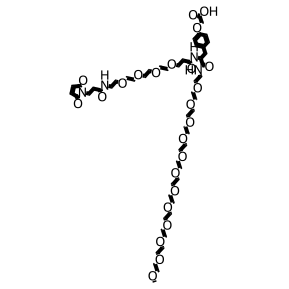 COCCOCCOCCOCCOCCOCCOCCOCCOCCOCCOCCOCCNC(=O)C(Cc1ccc(OCC(=O)O)cc1)NC(=O)CCOCCOCCOCCOCCNC(=O)CCN1C(=O)C=CC1=O